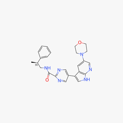 C[C@H](CNC(=O)c1ncc(-c2c[nH]c3ncc(N4CCOCC4)cc23)cn1)c1ccccc1